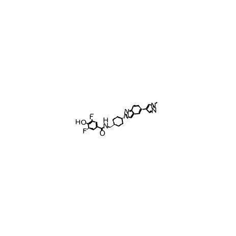 Cn1cc(-c2ccc3nn([C@H]4CC[C@H](CNC(=O)c5cc(F)c(O)c(F)c5)CC4)cc3c2)cn1